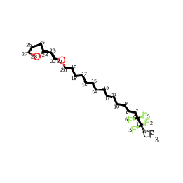 FC(F)(F)C(F)(F)C(F)(F)CCCCCCCCCCCCCCOCCC1CCCO1